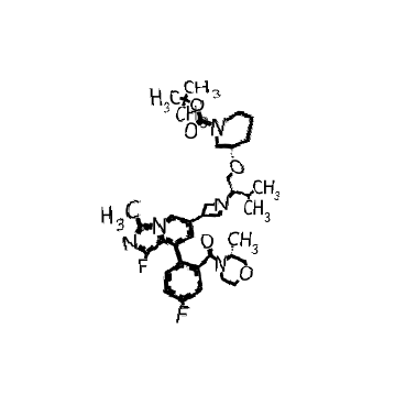 Cc1nc(F)c2c(-c3ccc(F)cc3C(=O)N3CCOC[C@H]3C)cc(C3CN([C@@H](CO[C@H]4CCCN(C(=O)OC(C)(C)C)C4)C(C)C)C3)cn12